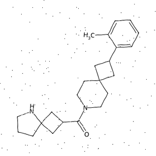 Cc1ccccc1C1CC2(CCN(C(=O)C3CC4(CCCN4)C3)CC2)C1